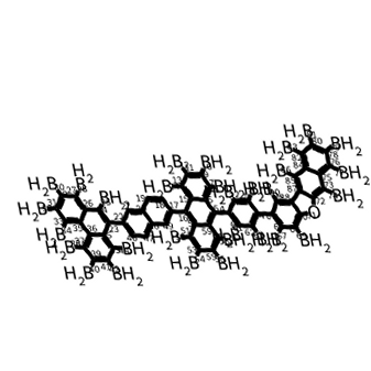 Bc1c(B)c(-c2c3c(B)c(B)c(B)c(B)c3c(-c3ccc4cc(-c5c(B)c6c(B)c(B)c(B)c(B)c6c6c(B)c(B)c(B)c(B)c56)ccc4c3)c3c(B)c(B)c(B)c(B)c23)c(B)c(B)c1-c1c(B)c(B)c2oc3c(B)c4c(B)c(B)c(B)c(B)c4c(B)c3c2c1B